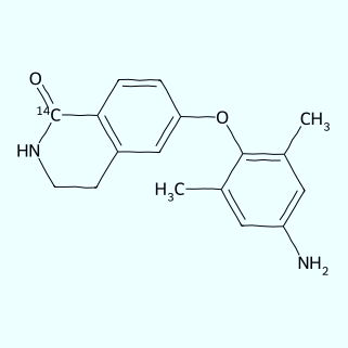 Cc1cc(N)cc(C)c1Oc1ccc2c(c1)CCN[14C]2=O